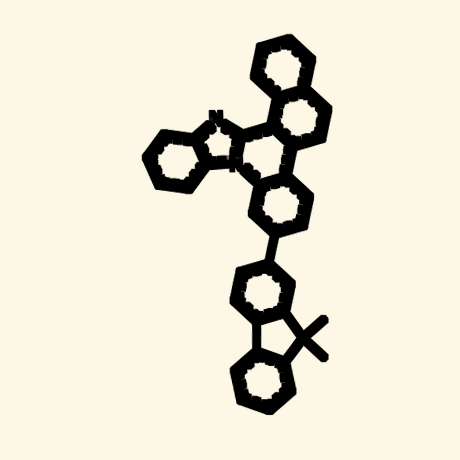 CC1(C)c2ccccc2-c2ccc(-c3ccc4c5ccc6ccccc6c5c5nc6ccccc6n5c4c3)cc21